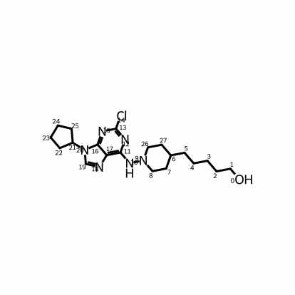 OCCCCCC1CCN(Nc2nc(Cl)nc3c2ncn3C2CCCC2)CC1